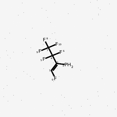 F/C=C(\P)C(F)(F)C(F)(F)F